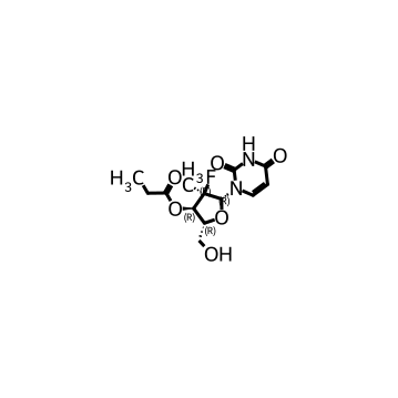 CCC(=O)O[C@@H]1[C@@H](CO)O[C@@H](n2ccc(=O)[nH]c2=O)[C@]1(C)F